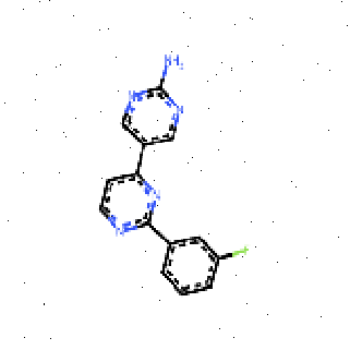 Nc1ncc(-c2ccnc(-c3cccc(F)c3)n2)cn1